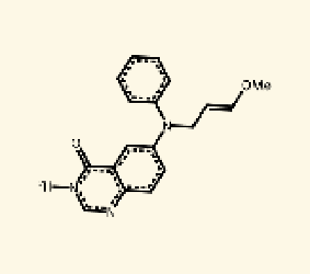 [2H]n1cnc2ccc(N(CC=COC)c3ccccc3)cc2c1=O